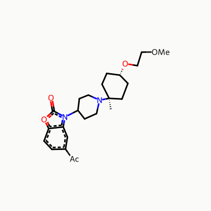 COCCO[C@H]1CC[C@](C)(N2CCC(n3c(=O)oc4ccc(C(C)=O)cc43)CC2)CC1